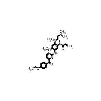 C=CC(=O)Nc1cc(Nc2nccc(C(=O)c3ccc(OCC)cc3)n2)c(OC)cc1N(C)CCN(C)C